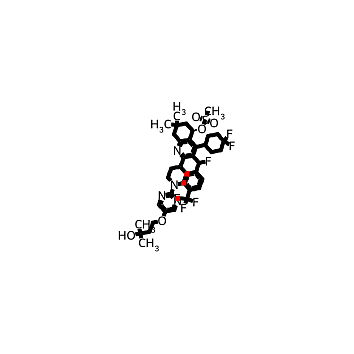 CC(C)(O)CCOc1cnc(N2CCC(c3nc4c(c(C5CCC(F)(F)CC5)c3C(F)c3ccc(C(F)(F)F)cc3)[C@@H](OS(C)(=O)=O)CC(C)(C)C4)CC2)nc1